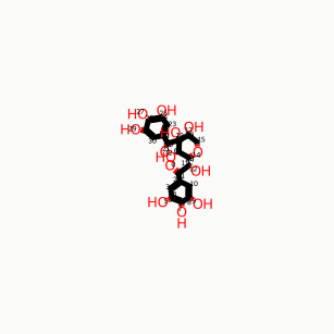 O=C(c1cc(O)c(O)c(O)c1)C(O)[C@H]1OC[C@H](O)[C@](O)(C(=O)c2cc(O)c(O)c(O)c2)[C@@H]1O